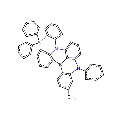 Cc1ccc2c(c1)N(c1ccccc1)c1cccc3c1B2c1cccc2c1N3c1ccccc1[Si]2(c1ccccc1)c1ccccc1